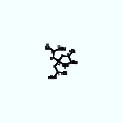 CCCCC(CC)C[Si](O)(CC(CC)CCCC)CC(CC)CCCC